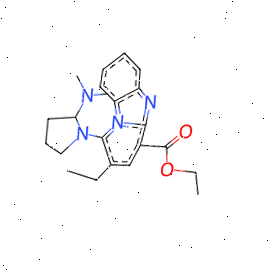 CCOC(=O)c1cc(CC)c(N2CCCC2N(C)C)n2c1nc1ccccc12